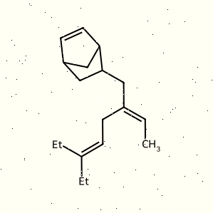 CC=C(CC=C(CC)CC)CC1CC2C=CC1C2